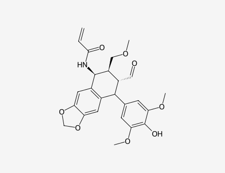 C=CC(=O)N[C@@H]1c2cc3c(cc2C(c2cc(OC)c(O)c(OC)c2)[C@@H](C=O)[C@@H]1COC)OCO3